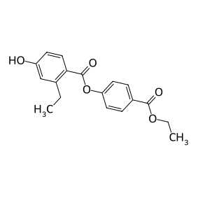 CCOC(=O)c1ccc(OC(=O)c2ccc(O)cc2CC)cc1